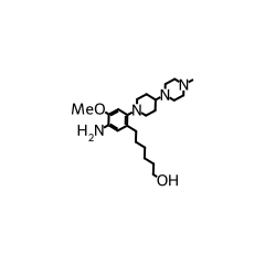 COc1cc(N2CCC(N3CCN(C)CC3)CC2)c(CCCCCCO)cc1N